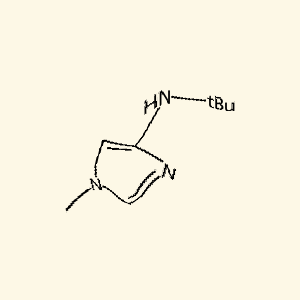 Cn1cnc(NC(C)(C)C)c1